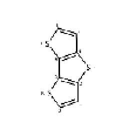 [c]1cc2sc3ccsc3c2s1